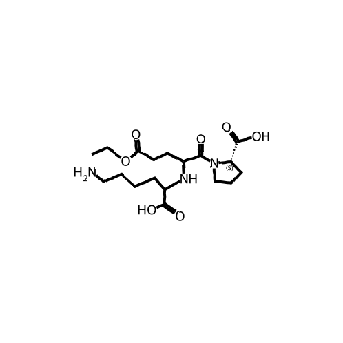 CCOC(=O)CCC(NC(CCCCN)C(=O)O)C(=O)N1CCC[C@H]1C(=O)O